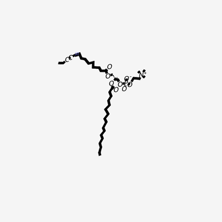 CCCC/C=C\CCCCCCCC(=O)OC[C@H](COP(=O)([O-])OCC[N+](C)(C)C)OC(=O)CCCCCCCCCCCCCCCC